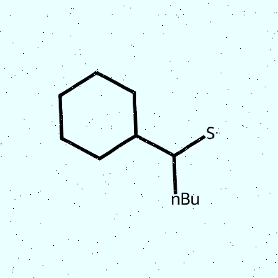 CCCCC([S])C1CCCCC1